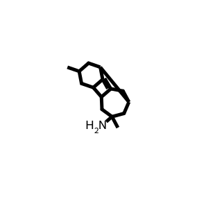 CC1CC2C3=C4CC2CC(C)(N)CC4C3C1